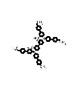 CCc1ccc(-c2ccc(N(c3ccc(-c4ccc(C)cc4)cc3)c3ccc(-c4ccc(N(c5ccc(-c6ccc(CC)cc6)cc5)c5ccc(-c6ccc(CC)cc6)cc5)c(C)c4)cc3C)cc2)cc1